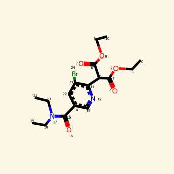 CCOC(=O)C(C(=O)OCC)c1ncc(C(=O)N(CC)CC)cc1Br